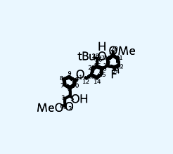 COC(=O)C[C@@H](O)c1cccc(OCc2ccc(-c3cc(OC)ccc3F)c(C(O)C(C)(C)C)c2)c1